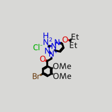 CCC(CC)Oc1ccc2n(n1)c(N)n[n+]2CC(=O)c1cc(Br)cc(OC)c1OC.[Cl-]